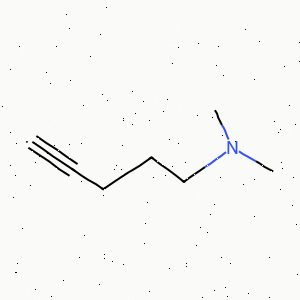 [C]#CCCCN(C)C